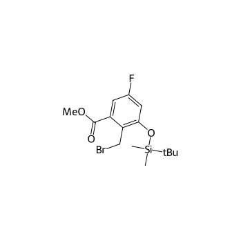 COC(=O)c1cc(F)cc(O[Si](C)(C)C(C)(C)C)c1CBr